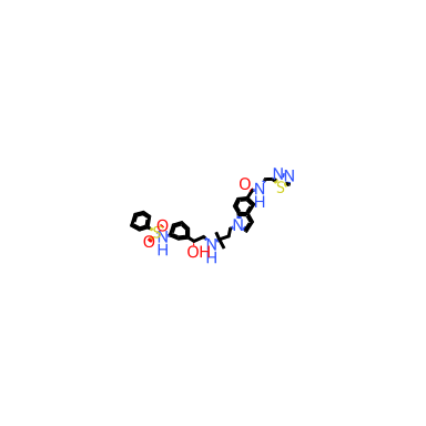 CC(C)(CCn1ccc2cc(C(=O)NCc3nncs3)ccc21)NC[C@H](O)c1cccc(NS(=O)(=O)c2ccccc2)c1